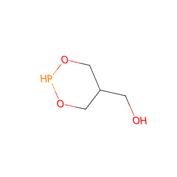 OCC1COPOC1